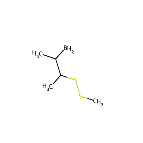 BC(C)C(C)SSC